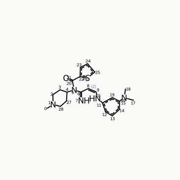 CN1CCC(N(C(=N)/C=C\Nc2cccc(N(C)C)c2)C(=O)c2cccs2)CC1